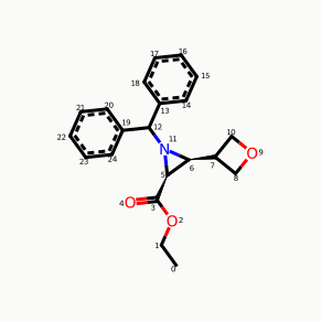 CCOC(=O)[C@@H]1[C@H](C2COC2)N1C(c1ccccc1)c1ccccc1